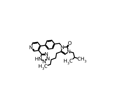 CCCCCc1cn(CC(C)C)c(=O)n1Cc1ccc(-c2ccncc2-c2nnn[nH]2)cc1